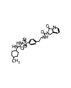 CC1CCC(NC(=O)NS(=O)(=O)c2ccc(CCNC(=O)N3Cc4cccnc4C3=O)cc2)CC1